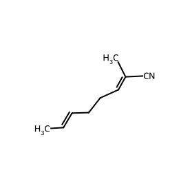 CC=CCCC=C(C)C#N